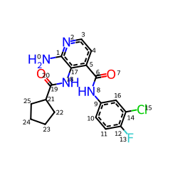 Nc1nccc(C(=O)Nc2ccc(F)c(Cl)c2)c1NC(=O)C1CCCC1